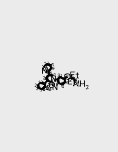 CCC(CC)(CN)Oc1cccc(-n2cc(-c3ccccn3)cc(-c3ccccc3C#N)c2=O)c1